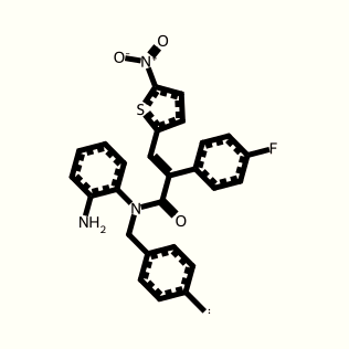 [CH]c1ccc(CN(C(=O)C(=Cc2ccc([N+](=O)[O-])s2)c2ccc(F)cc2)c2ccccc2N)cc1